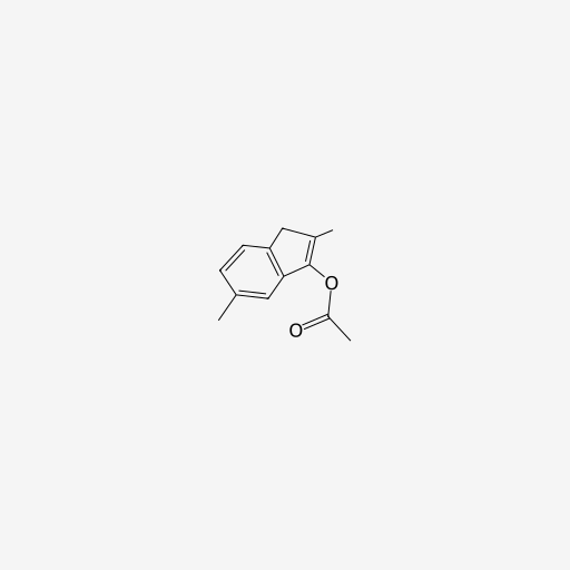 CC(=O)OC1=C(C)Cc2ccc(C)cc21